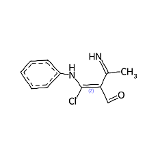 CC(=N)/C(C=O)=C(/Cl)Nc1ccccc1